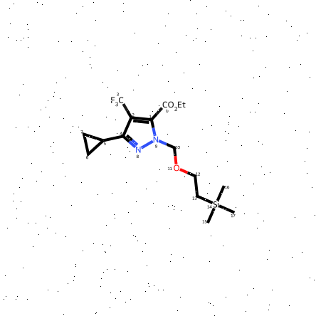 CCOC(=O)c1c(C(F)(F)F)c(C2CC2)nn1COCC[Si](C)(C)C